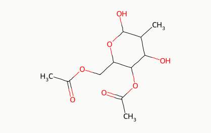 CC(=O)OCC1OC(O)C(C)C(O)C1OC(C)=O